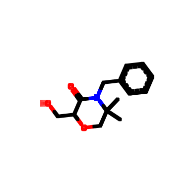 CC1(C)COC(CO)C(=O)N1Cc1ccccc1